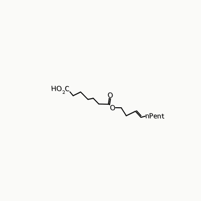 CCCCCC=CCCOC(=O)CCCCCC(=O)O